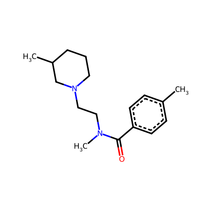 Cc1ccc(C(=O)N(C)CCN2CCCC(C)C2)cc1